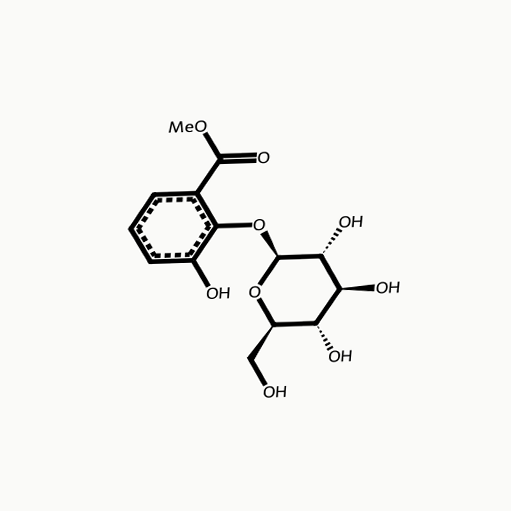 COC(=O)c1cccc(O)c1O[C@@H]1O[C@H](CO)[C@@H](O)[C@H](O)[C@H]1O